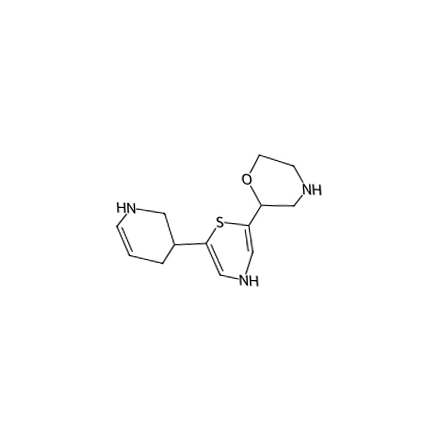 C1=CNCC(C2=CNC=C(C3CNCCO3)S2)C1